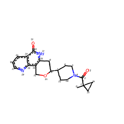 CC1(C(=O)N2CCC(C3Cc4[nH]c(=O)c5cccnc5c4CO3)CC2)CC1